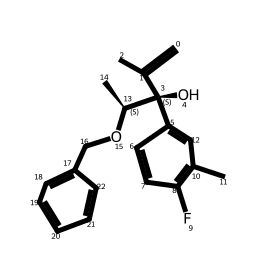 C=C(C)[C@](O)(c1ccc(F)c(C)c1)[C@H](C)OCc1ccccc1